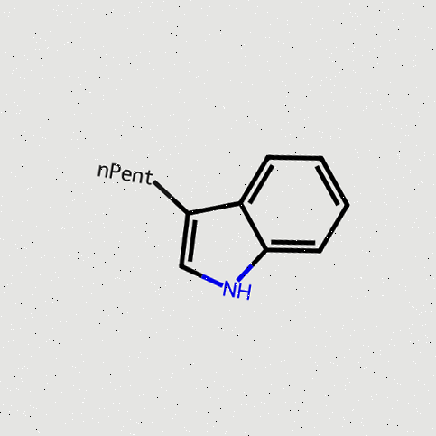 [CH2]CCCCc1c[nH]c2ccccc12